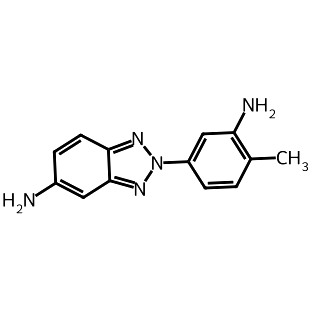 Cc1ccc(-n2nc3ccc(N)cc3n2)cc1N